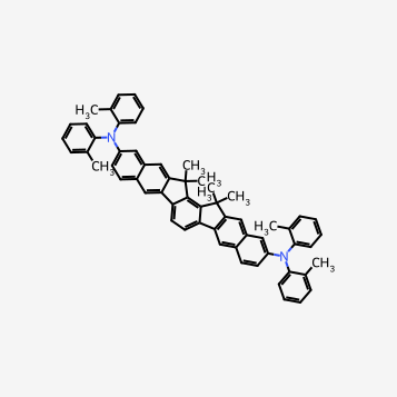 Cc1ccccc1N(c1ccc2cc3c(cc2c1)C(C)(C)c1c-3ccc2c1C(C)(C)c1cc3cc(N(c4ccccc4C)c4ccccc4C)ccc3cc1-2)c1ccccc1C